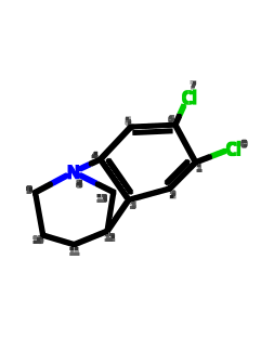 Clc1cc2c(cc1Cl)N1CCCC2C1